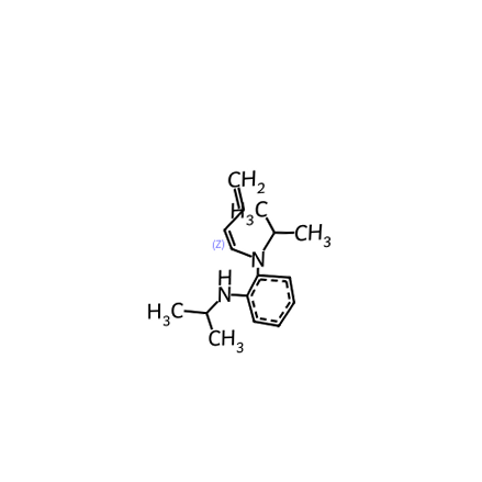 C=C/C=C\N(c1ccccc1NC(C)C)C(C)C